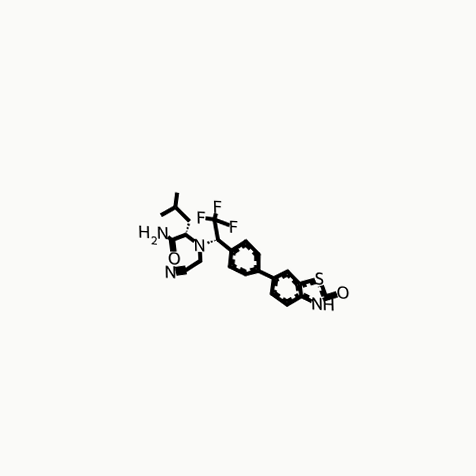 CC(C)C[C@@H](C(N)=O)N(CC#N)[C@@H](c1ccc(-c2ccc3[nH]c(=O)sc3c2)cc1)C(F)(F)F